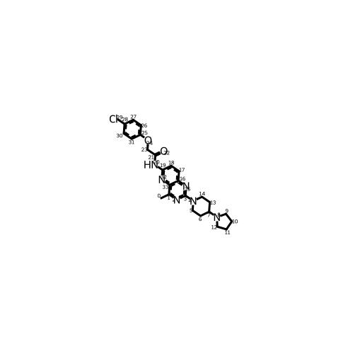 Cc1nc(N2CCC(N3CCCC3)CC2)nc2ccc(NC(=O)COc3ccc(Cl)cc3)nc12